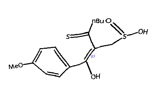 CCCCC(=S)/C(CS(=O)O)=C(/O)c1ccc(OC)cc1